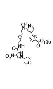 CN(CCOCCNC(=O)c1nn(C2CCOCC2)cc1[N+](=O)[O-])c1cc(-c2nc(C(=O)OC(C)(C)C)cs2)ccn1